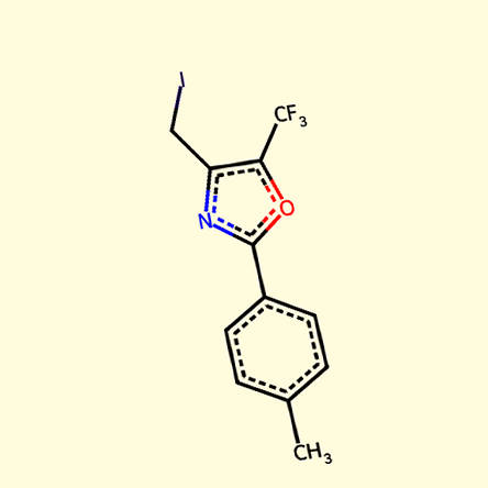 Cc1ccc(-c2nc(CI)c(C(F)(F)F)o2)cc1